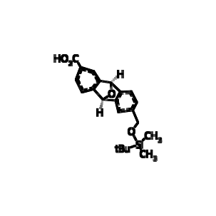 CC(C)(C)[Si](C)(C)OCc1ccc2c(c1)[C@@H]1O[C@H]2c2cc(C(=O)O)ccc21